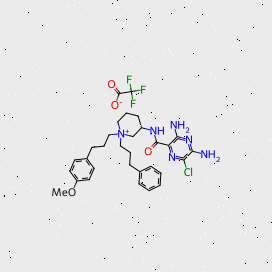 COc1ccc(CCC[N+]2(CCCc3ccccc3)CCCC(NC(=O)c3nc(Cl)c(N)nc3N)C2)cc1.O=C([O-])C(F)(F)F